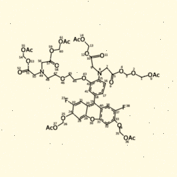 CC(=O)OCOCOC(=O)CN(CC(=O)OCOC(C)=O)c1ccc(C2=C3C=C(F)C(OCOC(C)=O)C=C3Oc3cc(OCOC(C)=O)c(F)cc32)cc1OCCOCCN(CC(=O)OCOC(C)=O)CC(=O)OCOC(C)=O